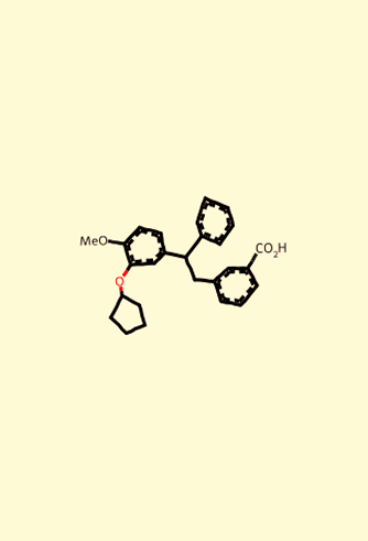 COc1ccc(C(Cc2cccc(C(=O)O)c2)c2ccccc2)cc1OC1CCCC1